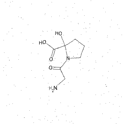 NCC(=O)N1CCCC1(O)C(=O)O